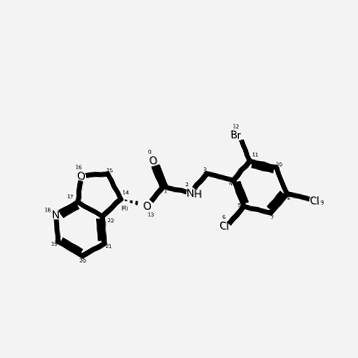 O=C(NCc1c(Cl)cc(Cl)cc1Br)O[C@H]1COc2ncccc21